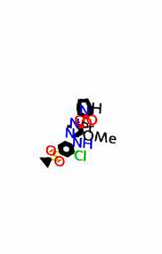 COc1c(Nc2ccc(S(=O)(=O)C3CC3)cc2Cl)ncnc1OC1CC2CC[C@@H](C1)N2C(=O)OC(C)C